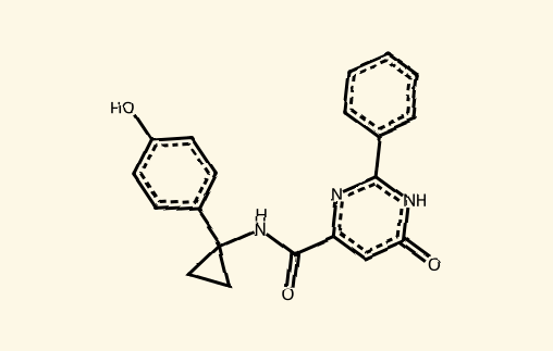 O=C(NC1(c2ccc(O)cc2)CC1)c1cc(=O)[nH]c(-c2ccccc2)n1